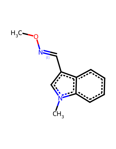 CO/N=C/c1cn(C)c2ccccc12